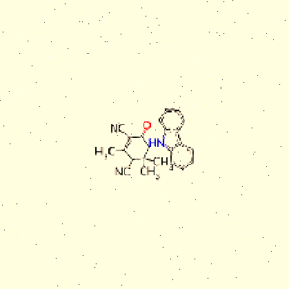 CC1=C(C#N)C(=O)CC(C)(C)C1C#N.c1ccc2c(c1)[nH]c1ccccc12